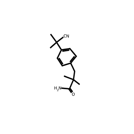 CC(C)(Cc1ccc(C(C)(C)C#N)cc1)C(N)=O